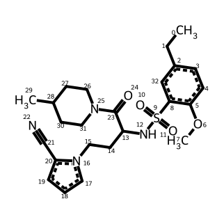 CCc1ccc(OC)c(S(=O)(=O)NC(CCn2cccc2C#N)C(=O)N2CCC(C)CC2)c1